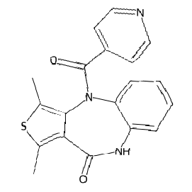 Cc1sc(C)c2c1C(=O)Nc1ccccc1N2C(=O)c1ccncc1